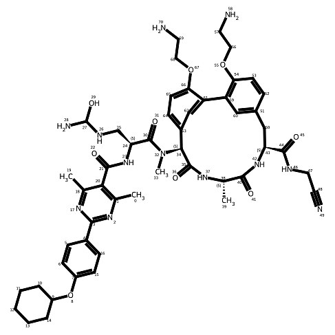 Cc1nc(-c2ccc(OC3CCCCC3)cc2)nc(C)c1C(=O)N[C@@H](CNC(N)O)C(=O)N(C)[C@@H]1C(=O)N[C@@H](C)C(=O)N[C@H](C(=O)NCC#N)Cc2ccc(OCCN)c(c2)-c2cc1ccc2OCCN